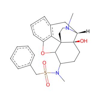 CN1CC[C@]23c4c5cccc4OC2C(N(C)S(=O)(=O)Cc2ccccc2)CC[C@@]3(O)[C@H]1C5